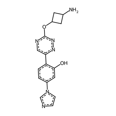 NC1CC(Oc2ncc(-c3ccc(-n4ccnc4)cc3O)nn2)C1